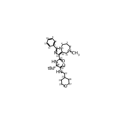 CN1CCCn2c(-c3ccccc3)nc(C(=O)N[C@H](C(=O)NCC3CCOCC3)C(C)(C)C)c2C1